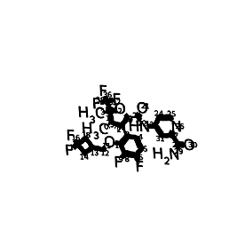 C[C@H]1[C@H](c2ccc(F)c(F)c2OCC2CC(F)(F)C2)[C@@H](C(=O)Nc2ccnc(C(N)=O)c2)O[C@@]1(C)C(F)(F)F